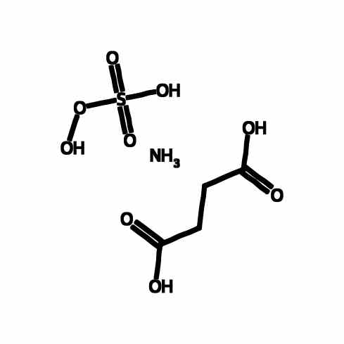 N.O=C(O)CCC(=O)O.O=S(=O)(O)OO